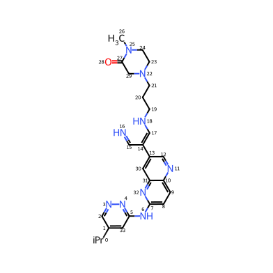 CC(C)c1cnnc(Nc2ccc3ncc(/C(C=N)=C/NCCCN4CCN(C)C(=O)C4)cc3n2)c1